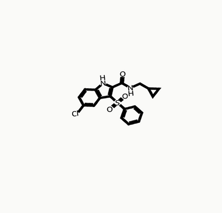 O=C(NCC1CC1)c1[nH]c2ccc(Cl)cc2c1S(=O)(=O)c1ccccc1